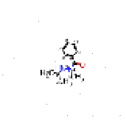 CC(C)NN(C)C(=O)c1ccccc1